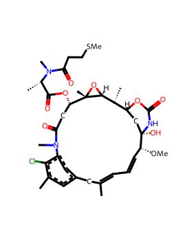 CO[C@@H]1/C=C/C=C(\C)Cc2cc(C)c(Cl)c(c2)N(C)C(=O)C[C@H](OC(=O)[C@H](C)N(C)C(=O)CCSC)[C@]2(C)O[C@H]2[C@H](C)[C@@H]2C[C@@]1(O)NC(=O)O2